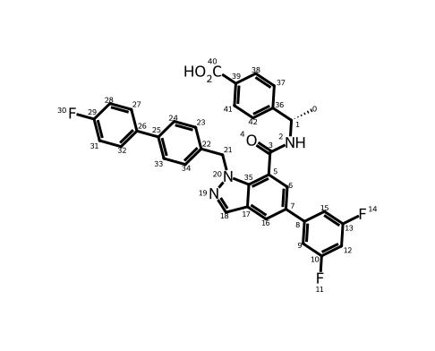 C[C@H](NC(=O)c1cc(-c2cc(F)cc(F)c2)cc2cnn(Cc3ccc(-c4ccc(F)cc4)cc3)c12)c1ccc(C(=O)O)cc1